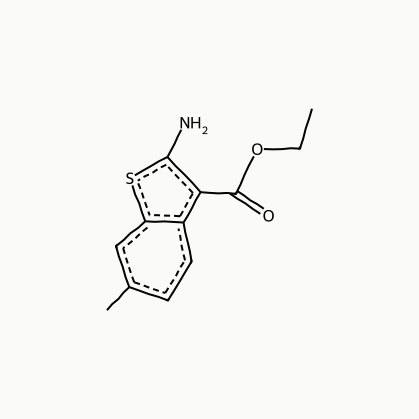 CCOC(=O)c1c(N)sc2cc(C)ccc12